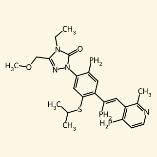 CCn1c(COC)nn(-c2cc(SC(C)C)c(/C(P)=C/c3c(P)ccnc3C)cc2P)c1=O